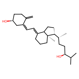 C=C1CC[C@H](O)C/C1=C/C=C1CCC[C@@]2(C)C1CC[C@@H]2[C@H](C)CC[C@H](O)C(C)C